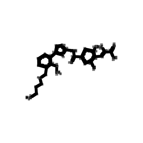 CCCCOCc1cccc(-c2csc(NC(=O)c3cc(Cl)c(/C=C(\C)C(=O)O)c(Cl)c3)n2)c1OC